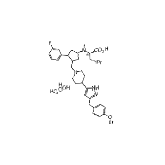 CCOc1ccc(Cc2cc(C3CCN(CC4CC(N(C)[C@H](CC(C)C)C(=O)O)CC4c4cccc(F)c4)CC3)[nH]n2)cc1.Cl.Cl.Cl